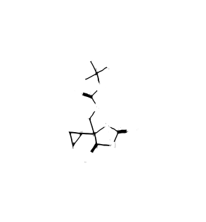 CC(C)(C)OC(=O)NCC1(C2CC2)NC(=O)NC1=O